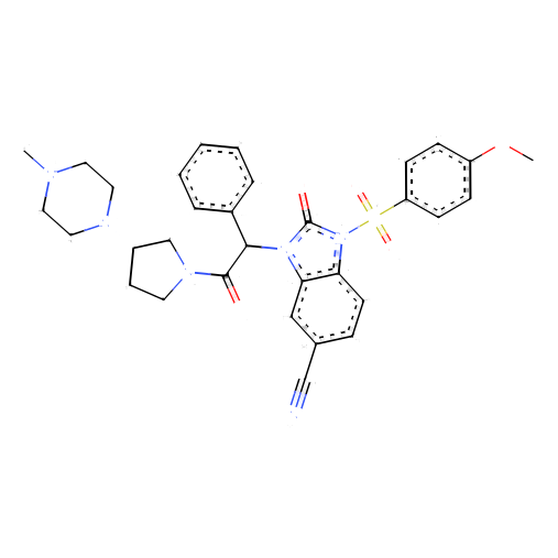 COc1ccc(S(=O)(=O)n2c(=O)n(C(C(=O)N3CC[C@H](N4CCN(C)CC4)C3)c3ccccc3)c3cc(C#N)ccc32)cc1